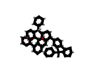 CC1(c2ccccc2)c2ccccc2-c2ccc(-c3ccc(N(c4ccccc4)c4ccccc4-c4cccc5cccc(-c6ccccc6)c45)cc3)cc21